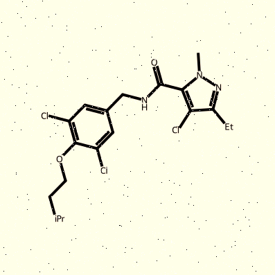 CCc1nn(C)c(C(=O)NCc2cc(Cl)c(OCCC(C)C)c(Cl)c2)c1Cl